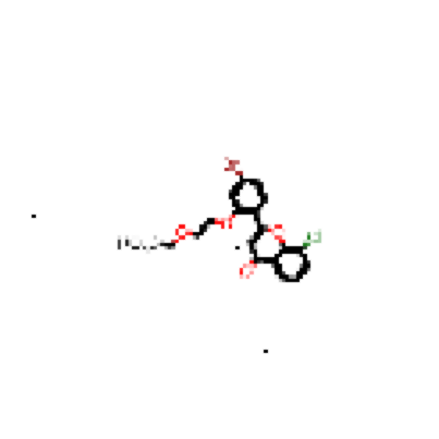 O=C(O)COCCOc1cc(Br)ccc1-c1cc(=O)c2cccc(Cl)c2o1